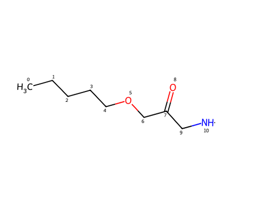 CCCCCOCC(=O)C[NH]